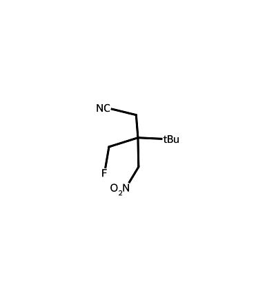 CC(C)(C)C(CF)(CC#N)C[N+](=O)[O-]